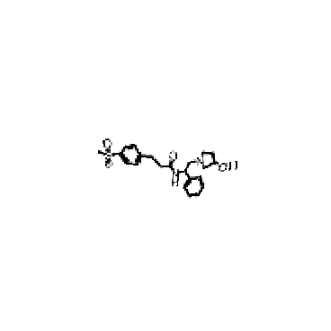 CS(=O)(=O)c1ccc(CCC(=O)NC(CN2CCC(O)C2)c2ccccc2)cc1